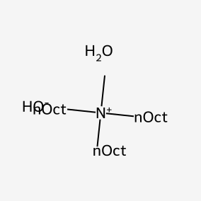 CCCCCCCC[N+](C)(CCCCCCCC)CCCCCCCC.O.[OH-]